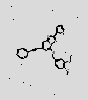 COc1ccc(CNc2nc(C#Cc3ccccc3)cc3nc(-c4ccco4)nn23)cc1OC